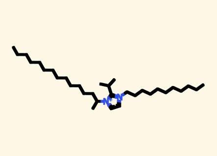 CCCCCCCCCCCCCC(C)[n+]1ccn(CCCCCCCCCCC)c1C(C)C